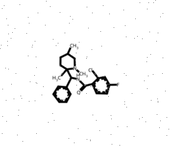 CC1CCC(C)(C(NC(=O)c2ccc(F)cc2Cl)c2ccccc2)N(C)C1